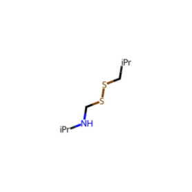 CC(C)CSSCNC(C)C